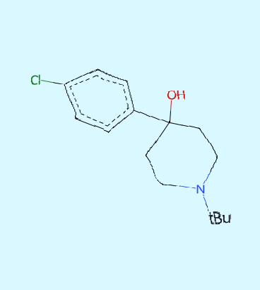 CC(C)(C)N1CCC(O)(c2ccc(Cl)cc2)CC1